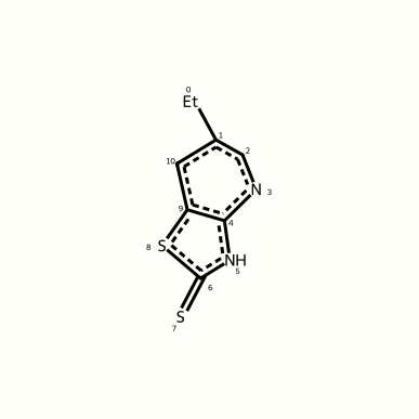 CCc1cnc2[nH]c(=S)sc2c1